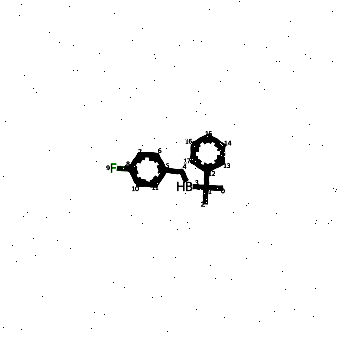 CC(C)(BCc1ccc(F)cc1)c1ccccc1